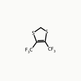 FC(F)(F)C1=C(C(F)(F)F)SCS1